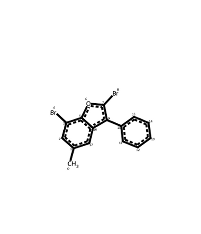 Cc1cc(Br)c2oc(Br)c(-c3ccccc3)c2c1